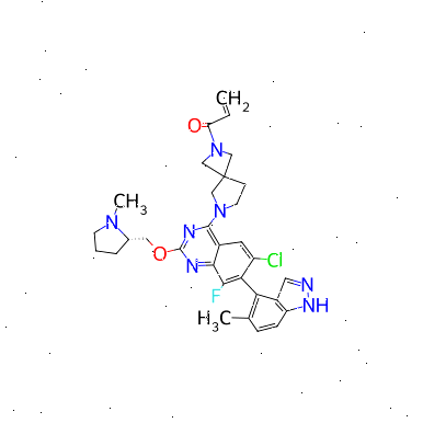 C=CC(=O)N1CC2(CCN(c3nc(OC[C@@H]4CCCN4C)nc4c(F)c(-c5c(C)ccc6[nH]ncc56)c(Cl)cc34)C2)C1